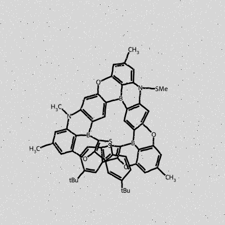 CSN1c2cc3c(cc2B2c4cc5c(cc4Oc4cc(C)cc1c42)N(C)c1cc(C)cc2c1B5c1sc4ccc(C(C)(C)C)cc4c1O2)B1c2sc4ccc(C(C)(C)C)cc4c2Oc2cc(C)cc(c21)O3